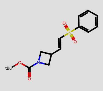 CC(C)(C)OC(=O)N1CC(/C=C/S(=O)(=O)c2ccccc2)C1